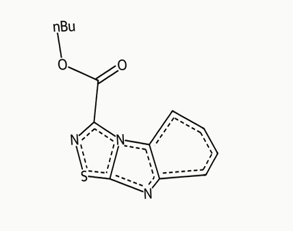 CCCCOC(=O)c1nsc2nc3ccccc3n12